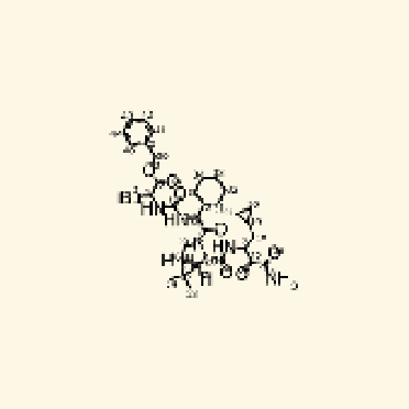 CCC(C)C(NC(=O)N[C@H](C(=O)N1C[C@H]2[C@@H]([C@H]1C(=O)NC(CC1CC1)C(=O)C(N)=O)C2(C)C)C1CCCCC1)C(=O)OCc1ccccc1